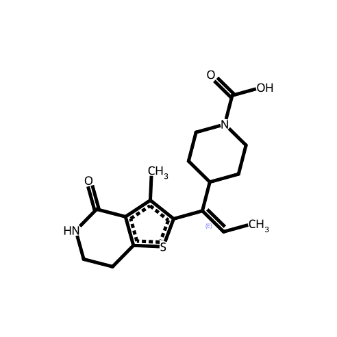 C/C=C(/c1sc2c(c1C)C(=O)NCC2)C1CCN(C(=O)O)CC1